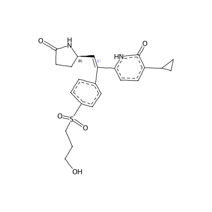 O=C1CC[C@H](/C=C(\c2ccc(S(=O)(=O)CCCO)cc2)c2ccc(C3CC3)c(=O)[nH]2)N1